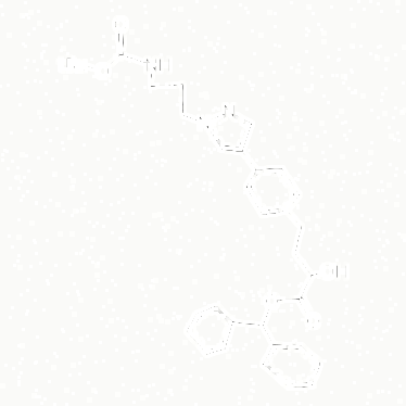 CC(C)(C)OC(=O)NCCCn1cc(-c2ccc(CCC(O)C(=O)OC(c3ccccc3)c3ccccc3)cc2)cn1